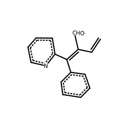 C=CC([C]=O)=C(c1ccccc1)c1ccccn1